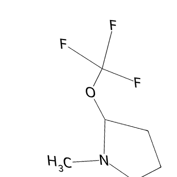 CN1[CH]CCC1OC(F)(F)F